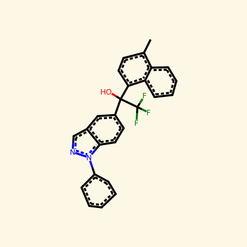 Cc1ccc(C(O)(c2ccc3c(cnn3-c3ccccc3)c2)C(F)(F)F)c2ccccc12